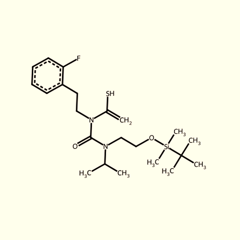 C=C(S)N(CCc1ccccc1F)C(=O)N(CCO[Si](C)(C)C(C)(C)C)C(C)C